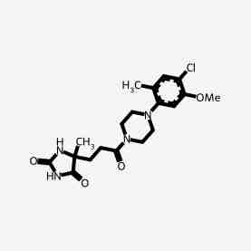 COc1cc(N2CCN(C(=O)CCC3(C)NC(=O)NC3=O)CC2)c(C)cc1Cl